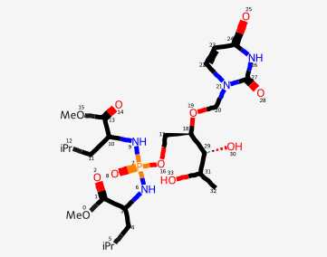 COC(=O)C(CC(C)C)NP(=O)(NC(CC(C)C)C(=O)OC)OC[C@@H](OCn1ccc(=O)[nH]c1=O)[C@H](O)C(C)O